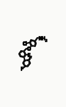 NCc1ccc(OCc2cccc(-c3cc(F)ccc3F)c2F)c(Cl)c1